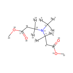 [2H]C([2H])([2H])N(C([2H])([2H])CC(=O)OC)C([2H])([2H])CC(=O)OC